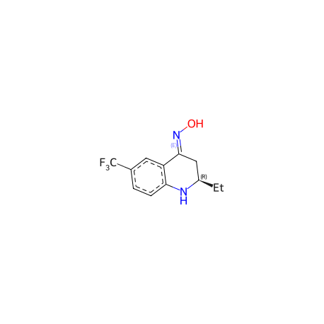 CC[C@@H]1C/C(=N\O)c2cc(C(F)(F)F)ccc2N1